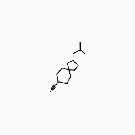 CC(C)C[C@H]1CC2(CCB(C#N)CC2)CO1